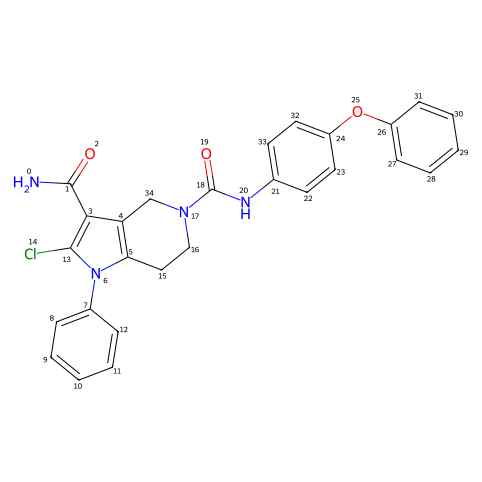 NC(=O)c1c2c(n(-c3ccccc3)c1Cl)CCN(C(=O)Nc1ccc(Oc3ccccc3)cc1)C2